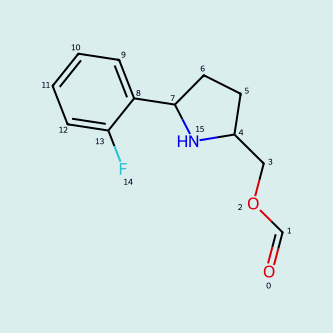 O=COCC1CCC(c2ccccc2F)N1